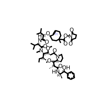 CC[C@H](C)[C@@H]([C@@H](CC(=O)N1CCC[C@H]1[C@H](OC)[C@@H](C)C(=O)N[C@H](C)[C@@H](O)c1ccccc1)OC)N(C)C(=O)[C@@H](NC(=O)[C@@H](OC1/C=C/CCC(C)(C(=O)ON2C(=O)CCC2=O)CC1)C(C)C)C(C)C